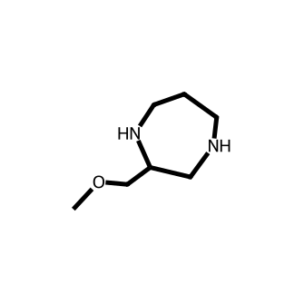 COCC1CNCCCN1